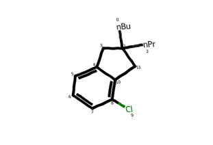 CCCCC1(CCC)Cc2cccc(Cl)c2C1